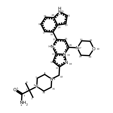 CC(C)(C(N)=O)N1CCN(Cc2cc3nc(-c4cccc5[nH]ccc45)cc(N4CCOCC4)n3n2)CC1